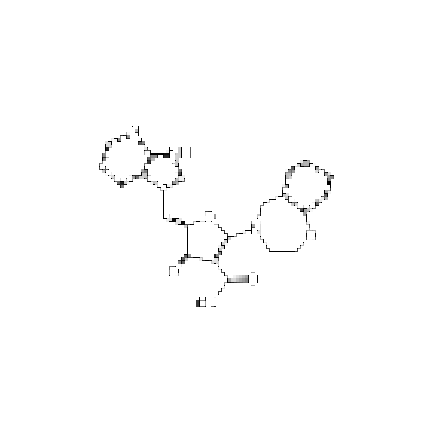 CCC(C)C(=O)C1=C(N2CCOc3ccccc3C2)O/C(=C\c2c[nH]c3ncccc23)C1=O